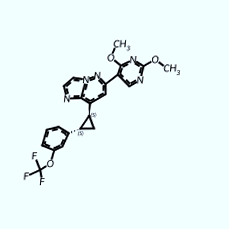 COc1ncc(-c2cc([C@H]3C[C@@H]3c3cccc(OC(F)(F)F)c3)c3nccn3n2)c(OC)n1